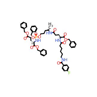 C[C@H](CCCOP(=O)(N[C@@H](CCC(=O)OCc1ccccc1)C(=O)OCc1ccccc1)OCc1ccccc1)NC(=O)CC[C@H](NC(=O)CCCCCNC(=O)c1ccc(F)cc1)C(=O)OCc1ccccc1